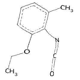 CCOc1cccc(C)c1N=C=O